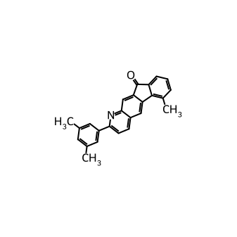 Cc1cc(C)cc(-c2ccc3cc4c(cc3n2)C(=O)c2cccc(C)c2-4)c1